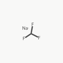 FC(F)F.[Na]